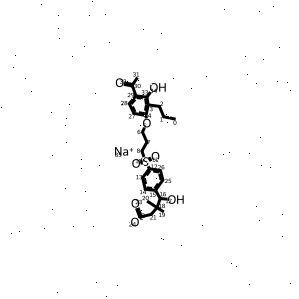 CCCc1c(OCCCS(=O)(=O)c2ccc(C(O)C(C)(C)CC(=O)[O-])cc2)ccc(C(C)=O)c1O.[Na+]